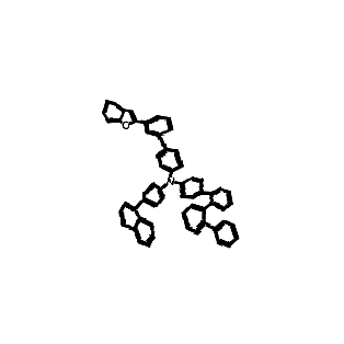 c1ccc(-c2ccccc2-c2ccccc2-c2ccc(N(c3ccc(-c4cccc(-c5cc6ccccc6o5)c4)cc3)c3ccc(-c4cccc5ccccc45)cc3)cc2)cc1